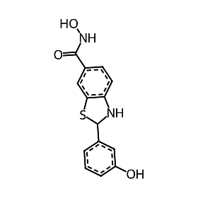 O=C(NO)c1ccc2c(c1)SC(c1cccc(O)c1)N2